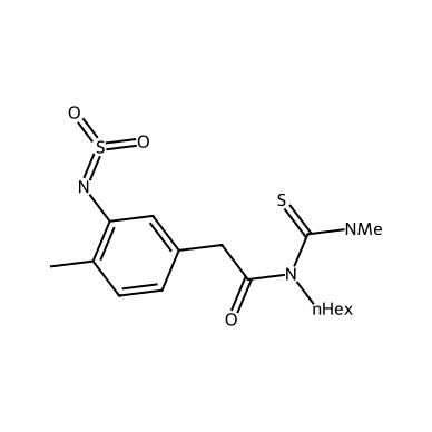 CCCCCCN(C(=O)Cc1ccc(C)c(N=S(=O)=O)c1)C(=S)NC